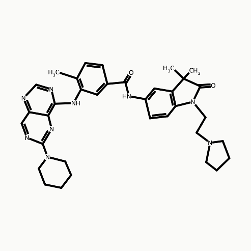 Cc1ccc(C(=O)Nc2ccc3c(c2)C(C)(C)C(=O)N3CCN2CCCC2)cc1Nc1ncnc2cnc(N3CCCCC3)nc12